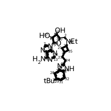 CCN(C[C@H]1O[C@@H](n2cnc3c(N)ncnc32)[C@H](O)[C@@H]1O)C1CC(CCc2nc3cc(C(C)(C)C)ccc3[nH]2)C1